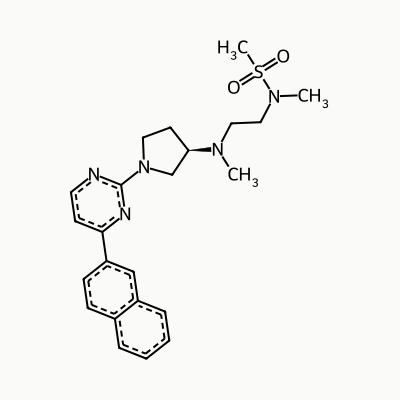 CN(CCN(C)S(C)(=O)=O)[C@@H]1CCN(c2nccc(-c3ccc4ccccc4c3)n2)C1